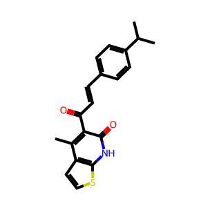 Cc1c(C(=O)C=Cc2ccc(C(C)C)cc2)c(=O)[nH]c2sccc12